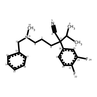 CC(C)C(C#N)(CCCN(C)Cc1ccccc1)c1ccc(F)c(F)c1